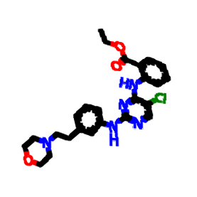 CCOC(=O)c1ccccc1Nc1nc(Nc2cccc(CCN3CCOCC3)c2)ncc1Cl